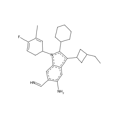 CCC1CC(c2c(C3CCCCC3)n(C3C=C(C)C(F)=CC3)c3cc(C=N)c(N)cc23)C1